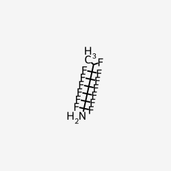 CC(F)C(F)(F)C(F)(F)C(F)(F)C(F)(F)C(F)(F)C(N)(F)F